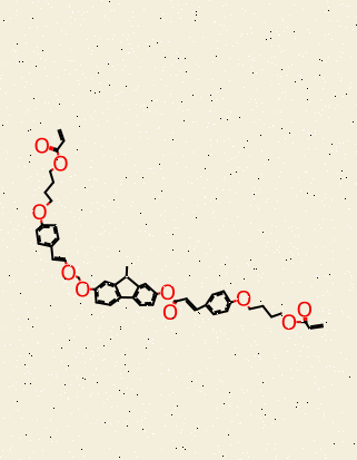 C=CC(=O)OCCCCOc1ccc(C=COCOc2ccc3c(c2)C(C)c2cc(OC(=O)C=Cc4ccc(OCCCCOC(=O)C=C)cc4)ccc2-3)cc1